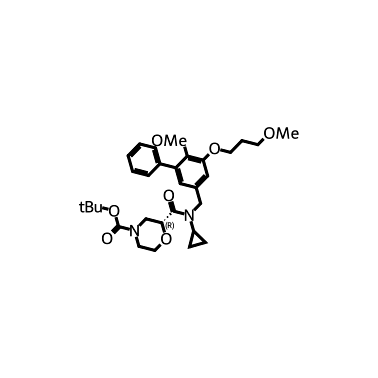 COCCCOc1cc(CN(C(=O)[C@H]2CN(C(=O)OC(C)(C)C)CCO2)C2CC2)cc(-c2ccccc2)c1OC